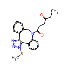 CCC(=O)CCC(=O)N1Cc2ccccc2-c2nnn(SC)c2-c2ccccc21